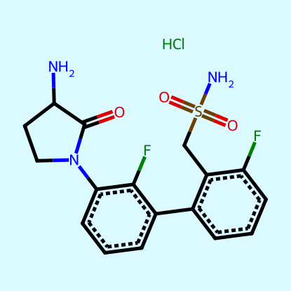 Cl.NC1CCN(c2cccc(-c3cccc(F)c3CS(N)(=O)=O)c2F)C1=O